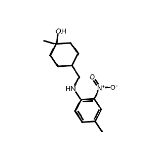 Cc1ccc(NCC2CCC(C)(O)CC2)c([N+](=O)[O-])c1